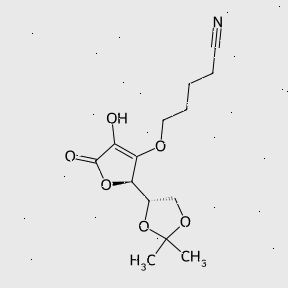 CC1(C)OC[C@@H]([C@H]2OC(=O)C(O)=C2OCCCCC#N)O1